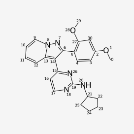 COc1ccc(-c2nn3ccccc3c2-c2ccnc(NC3CCCC3)n2)c(OC)c1